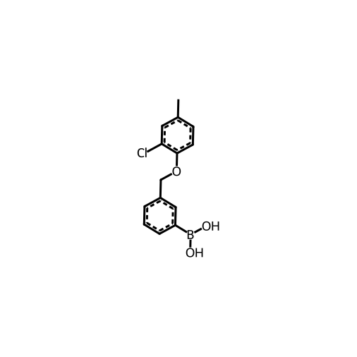 Cc1ccc(OCc2cccc(B(O)O)c2)c(Cl)c1